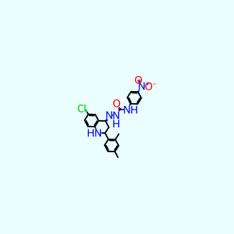 Cc1ccc(C2CC(=NNC(=O)Nc3ccc([N+](=O)[O-])cc3)c3cc(Cl)ccc3N2)c(C)c1